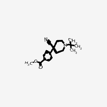 COC(=O)c1ccc(C2(C#N)CCN(C(C)(C)C)CC2)cc1